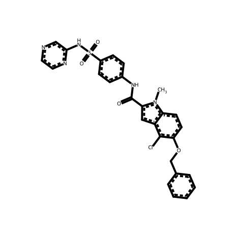 Cn1c(C(=O)Nc2ccc(S(=O)(=O)Nc3cnccn3)cc2)cc2c(Cl)c(OCc3ccccc3)ccc21